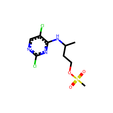 CC(CCOS(C)(=O)=O)Nc1nc(Cl)ncc1Cl